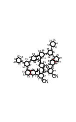 N#Cc1cc2c3c(c1)c1ccccc1n3-c1cc(-n3c4cc(-c5cc(-c6ccccc6)cc(-c6ccccc6)c5)ccc4c4ccc(-c5cc(-c6ccccc6)cc(-c6ccccc6)c5)cc43)cc3c1B2c1cc(C#N)cc2c4ccccc4n-3c12